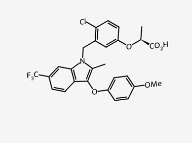 COc1ccc(Oc2c(C)n(Cc3cc(O[C@@H](C)C(=O)O)ccc3Cl)c3cc(C(F)(F)F)ccc23)cc1